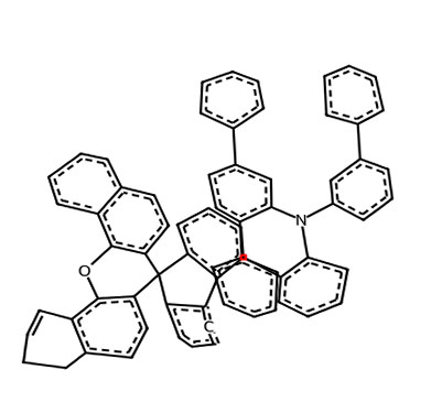 C1=Cc2c(ccc3c2Oc2c(ccc4ccccc24)C32c3ccccc3-c3c(-c4ccccc4N(c4cccc(-c5ccccc5)c4)c4cc(-c5ccccc5)ccc4-c4ccccc4)cccc32)CC1